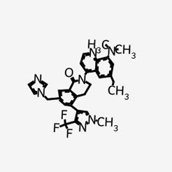 CCc1cc(N(C)C)c2nccc(N3CCc4c(cc(Cn5ccnc5)cc4-c4cn(C)nc4C(F)(F)F)C3=O)c2c1